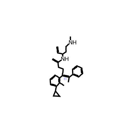 C=CC(CCNC)NC(=C)CC/C(=C(/C)c1ccccc1)c1cccc(C2CC2)c1C